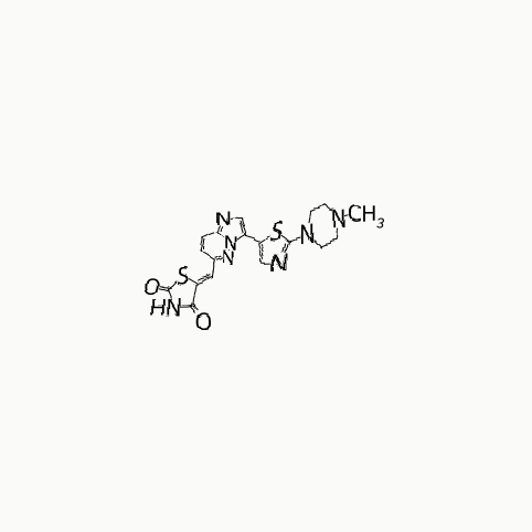 CN1CCN(c2ncc(-c3cnc4ccc(/C=C5\SC(=O)NC5=O)nn34)s2)CC1